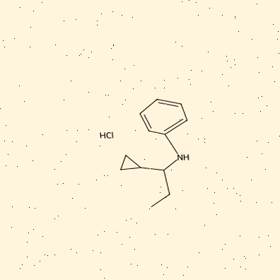 CCC(Nc1ccccc1)C1CC1.Cl